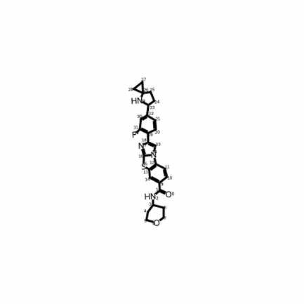 O=C(NC1CCOCC1)c1ccc2c(c1)sc1nc(-c3ccc(C4CCC5(CC5)N4)cc3F)cn12